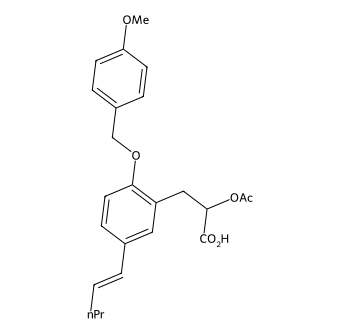 CCC/C=C/c1ccc(OCc2ccc(OC)cc2)c(CC(OC(C)=O)C(=O)O)c1